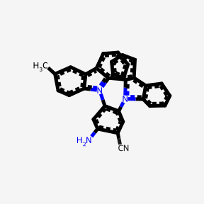 Cc1ccc2c(c1)c1ccccc1n2-c1cc(N)c(C#N)cc1-n1c2ccccc2c2ccccc21